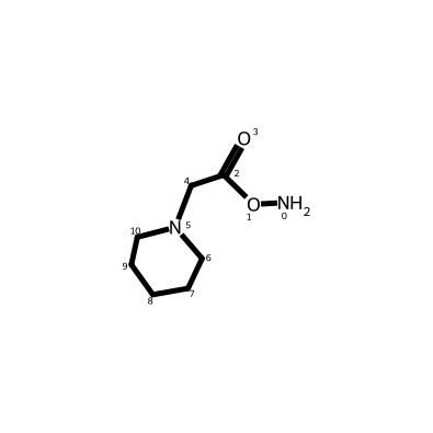 NOC(=O)CN1CCCCC1